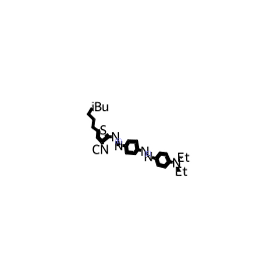 CCC(C)CCCc1cc(C#N)c(/N=N/c2ccc(/N=N/c3ccc(N(CC)CC)cc3)cc2)s1